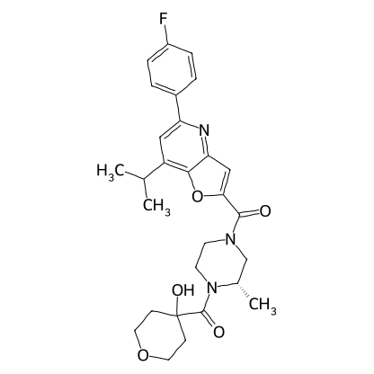 CC(C)c1cc(-c2ccc(F)cc2)nc2cc(C(=O)N3CCN(C(=O)C4(O)CCOCC4)[C@@H](C)C3)oc12